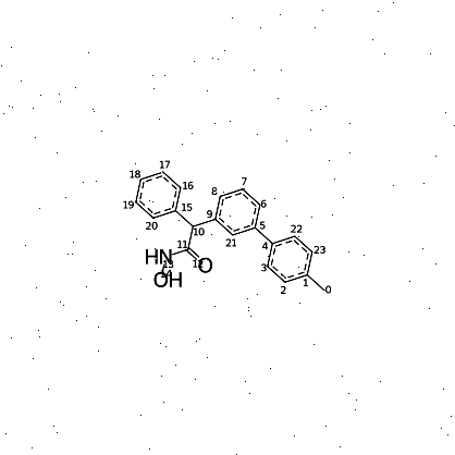 Cc1ccc(-c2cccc(C(C(=O)NO)c3ccccc3)c2)cc1